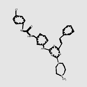 CN1CCN(c2nc(/C=C/c3ccccc3)nc(Nc3cccc(NC(=O)Nc4ccc(Cl)cc4)c3)n2)CC1